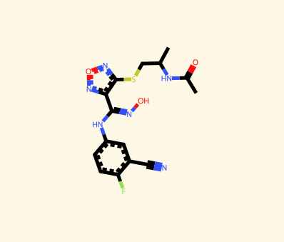 CC(=O)NC(C)CSc1nonc1C(=NO)Nc1ccc(F)c(C#N)c1